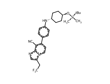 CC(C)(C)[Si](C)(C)O[C@H]1CC[C@H](Nc2ccc(-c3ccn4c(CC(F)(F)F)cnc4c3C#N)cc2)CC1